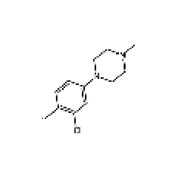 [CH2]c1ccc(N2CCN(C)CC2)cc1Cl